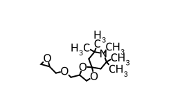 CN1C(C)(C)CC2(CC1(C)C)OCC(COCC1CO1)O2